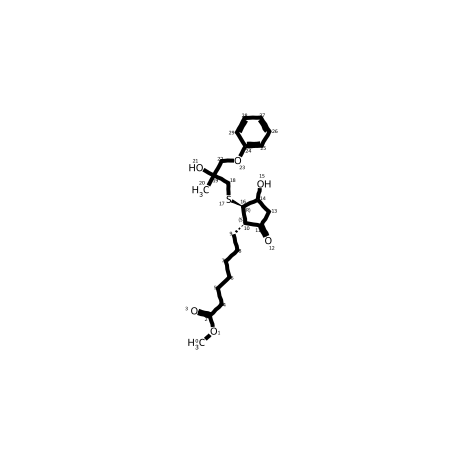 COC(=O)CCCCCC[C@H]1C(=O)CC(O)[C@@H]1SCC(C)(O)COc1ccccc1